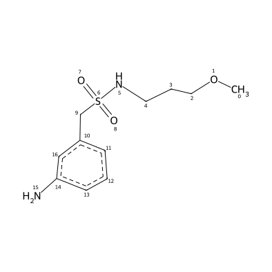 COCCCNS(=O)(=O)Cc1cccc(N)c1